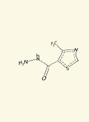 NNC(=O)c1scnc1C(F)(F)F